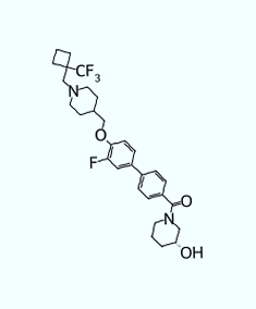 O=C(c1ccc(-c2ccc(OCC3CCN(CC4(C(F)(F)F)CCC4)CC3)c(F)c2)cc1)N1CCC[C@@H](O)C1